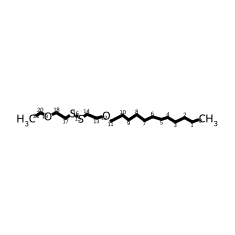 CCCCCCCCCCCCOCCSSCCOCC